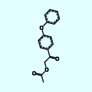 CC(=O)OCC(=O)c1ccc(Oc2ccccc2)cc1